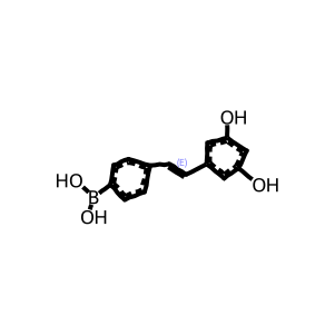 OB(O)c1ccc(/C=C/c2cc(O)cc(O)c2)cc1